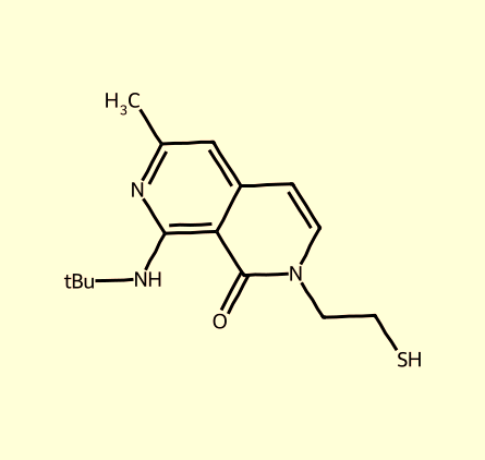 Cc1cc2ccn(CCS)c(=O)c2c(NC(C)(C)C)n1